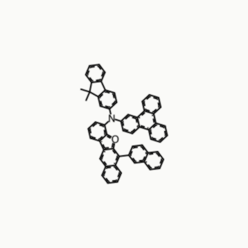 CC1(C)c2ccccc2-c2ccc(N(c3ccc4c5ccccc5c5ccccc5c4c3)c3cccc4c3oc3c(-c5ccc6ccccc6c5)c5ccccc5cc34)cc21